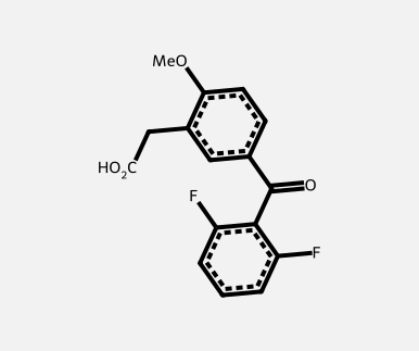 COc1ccc(C(=O)c2c(F)cccc2F)cc1CC(=O)O